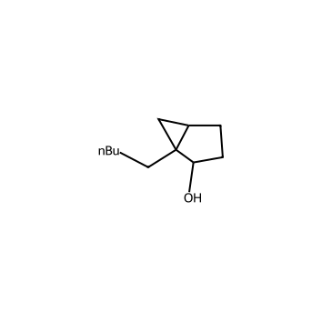 CCCCCC12CC1CCC2O